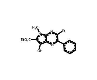 CCOC(=O)c1c(O)c2nc(-c3ccccc3)c(CC)nc2n1C